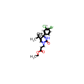 CCOC(=O)CCN1C=C(C(C)C)C(C)(c2ccc(Br)c(Cl)c2)NC1=O